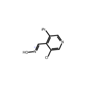 CC(C)c1cncc(Cl)c1/C=N/O